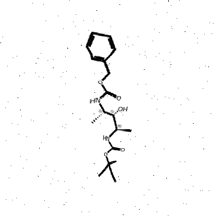 C[C@H](NC(=O)OCc1ccccc1)[C@H](O)[C@@H](C)NC(=O)OC(C)(C)C